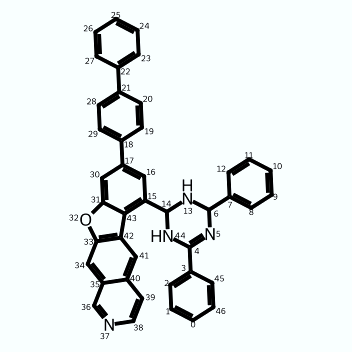 c1ccc(C2=NC(c3ccccc3)NC(c3cc(-c4ccc(-c5ccccc5)cc4)cc4oc5cc6cnccc6cc5c34)N2)cc1